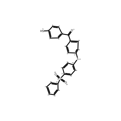 O=C(c1ccc(S)cc1)c1ccc(Sc2ccc(S(=O)(=O)c3ccccc3)cc2)cc1